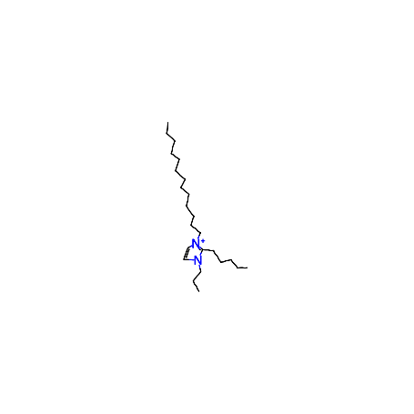 CCCCCCCCCCCCC[n+]1ccn(CCC)c1CCCCC